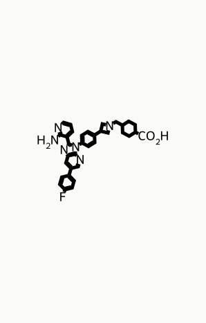 Nc1ncccc1-c1nc2cc(-c3ccc(F)cc3)cnc2n1-c1ccc(C2CN(CC3CCC(C(=O)O)CC3)C2)cc1